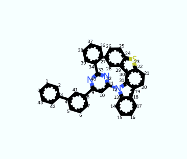 c1ccc(-c2cccc(-c3cc(-n4c5ccccc5c5ccc6sc7ccccc7c6c54)nc(-c4ccccc4)n3)c2)cc1